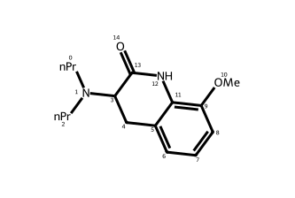 CCCN(CCC)C1Cc2cccc(OC)c2NC1=O